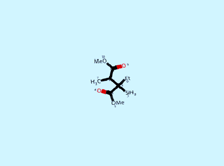 CCC([SiH3])(C(=O)OC)C(C)C(=O)OC